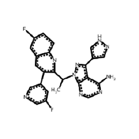 CC(c1nc2ccc(F)cc2cc1-c1cncc(F)c1)n1nc(-c2cn[nH]c2)c2c(N)ncnc21